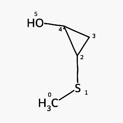 CSC1C[C]1O